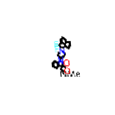 CNC(=O)CC1(C)C(=O)N(C2CCN(C3c4cccc5cccc(c45)C3(F)F)CC2)c2ccccc21